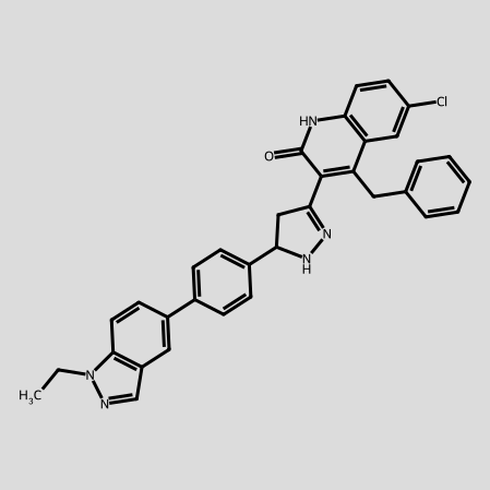 CCn1ncc2cc(-c3ccc(C4CC(c5c(Cc6ccccc6)c6cc(Cl)ccc6[nH]c5=O)=NN4)cc3)ccc21